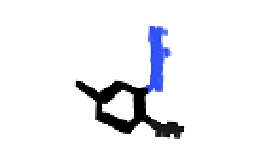 CCCc1ccc(C)cc1N=[N+]=[N-]